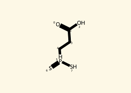 O=C(O)CC[PH](=S)S